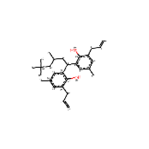 C=CCc1cc(C)cc(C(CC(C)CC(C)(C)C)c2cc(C)cc(CC=C)c2O)c1O